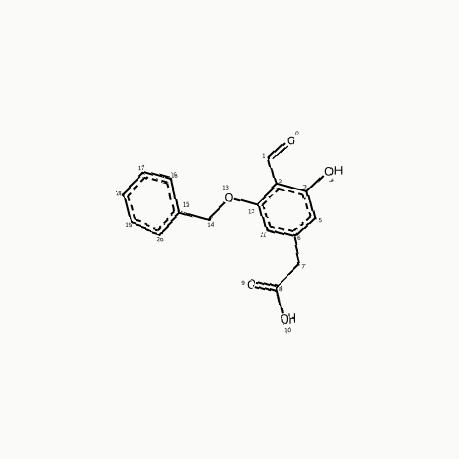 O=Cc1c(O)cc(CC(=O)O)cc1OCc1ccccc1